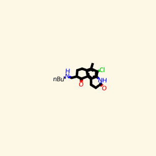 CCCCNCC1CCc2c(C)c(Cl)c3c(c2C1=O)CCC(=O)N3